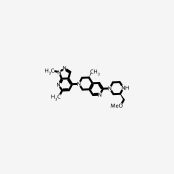 COC[C@H]1CN(c2cc3c(cn2)CN(c2cc(C)nc4c2cnn4C)C[C@@H]3C)CCN1